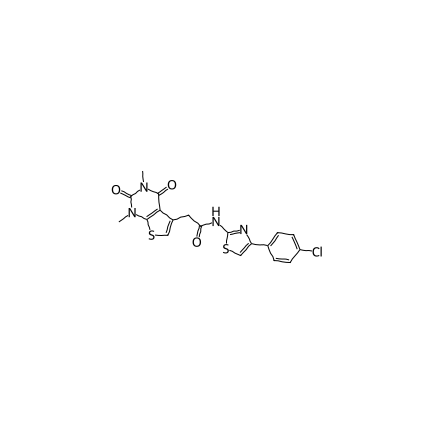 Cn1c(=O)c2c(CC(=O)Nc3nc(-c4ccc(Cl)cc4)cs3)csc2n(C)c1=O